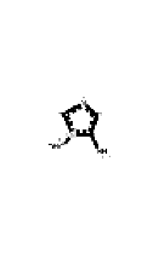 Nc1cncn1C=O